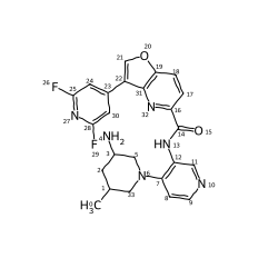 CC1CC(N)CN(c2ccncc2NC(=O)c2ccc3occ(-c4cc(F)nc(F)c4)c3n2)C1